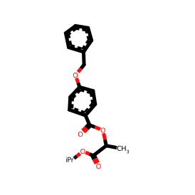 CC(C)OC(=O)C(C)OC(=O)c1ccc(OCc2ccccc2)cc1